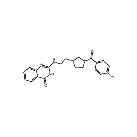 O=C(c1ccc(F)cc1)C1CCN(CCNc2nc3ccccc3c(=O)[nH]2)C1